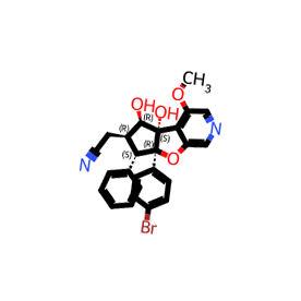 COc1cncc2c1[C@]1(O)[C@H](O)[C@H](CC#N)[C@@H](c3ccccc3)[C@]1(c1ccc(Br)cc1)O2